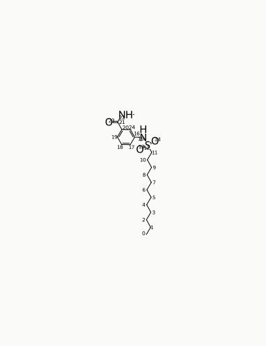 CCCCCCCCCCCCS(=O)(=O)Nc1cccc(C([NH])=O)c1